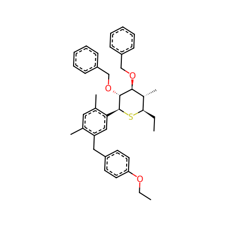 CCOc1ccc(Cc2cc([C@@H]3S[C@H](CC)[C@@H](C)[C@H](OCc4ccccc4)[C@H]3OCc3ccccc3)c(C)cc2C)cc1